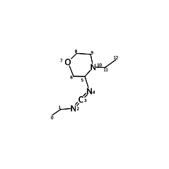 CCN=C=NC1COCCN1CC